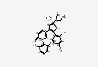 C[C@](O)(CO)c1nc(-c2ccc(=O)n(-c3c(F)cccc3F)c2)c(-c2ccc(F)cc2F)o1